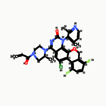 C=CC(=O)N1CCN(c2nc(=O)n(-c3c(C)ccnc3C(C)C)c3c4c(c(Cl)cc23)-c2c(F)ccc(F)c2CO4)[C@@H](C)C1